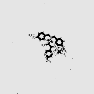 COc1ccc(CN(Cc2ccc(OC)cc2)S(=O)(=O)C(C)C(O[Si](C)(C)C(C)(C)C)c2cnc(C)cn2)cc1